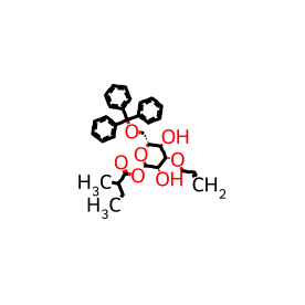 C=CCO[C@@H]1[C@H](O)[C@H](OC(=O)C(C)CC)O[C@H](COC(c2ccccc2)(c2ccccc2)c2ccccc2)[C@H]1O